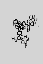 CC(=O)OC(C)Nc1cccc(C(N)(Cc2ccc(C(C)(C)CCOC(F)F)cc2)S(=O)(=O)c2ccccn2)n1